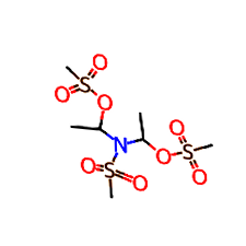 CC(OS(C)(=O)=O)N(C(C)OS(C)(=O)=O)S(C)(=O)=O